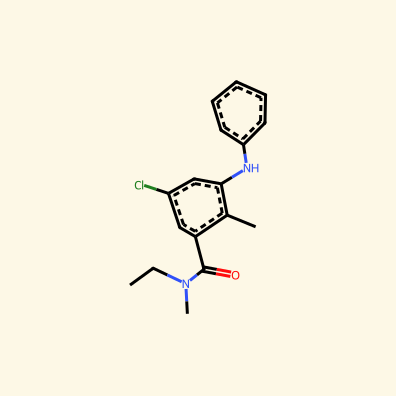 CCN(C)C(=O)c1cc(Cl)cc(Nc2ccccc2)c1C